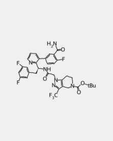 CC(C)(C)OC(=O)N1CCc2c(c(C(F)(F)F)nn2CC(=O)N[C@@H](Cc2cc(F)cc(F)c2)c2ncccc2-c2ccc(F)c(C(N)=O)c2)C1